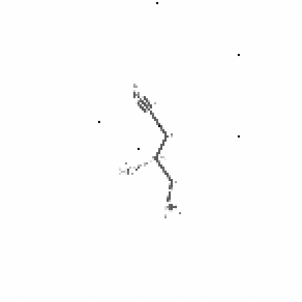 N#CC[C@@H](O)CN